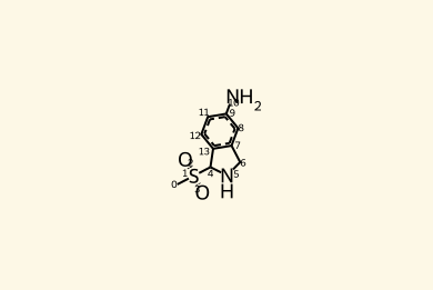 CS(=O)(=O)C1NCc2cc(N)ccc21